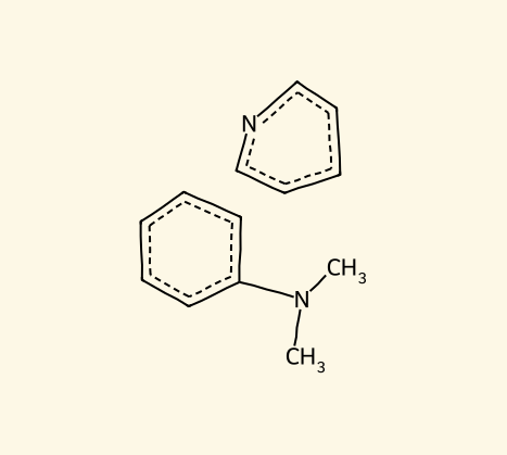 CN(C)c1ccccc1.c1ccncc1